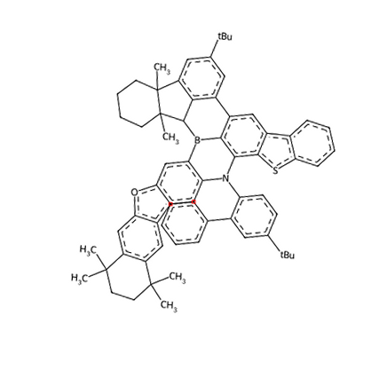 CC(C)(C)c1ccc(N2c3cc4c(cc3B3c5c(cc6c(sc7ccccc76)c52)-c2cc(C(C)(C)C)cc5c2C3C2(C)CCCCC52C)oc2cc3c(cc24)C(C)(C)CCC3(C)C)c(-c2ccccc2)c1